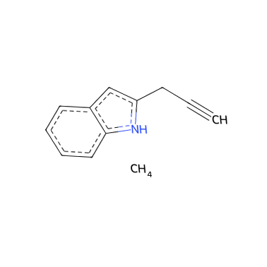 C.C#CCc1cc2ccccc2[nH]1